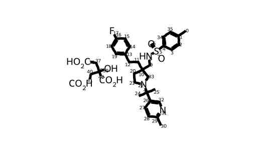 Cc1ccc(S(=O)(=O)NCC2(CCc3ccc(F)cc3)CCN(C(C)(C)c3ccc(C)nc3)C2)cc1.O=C(O)CC(O)(CC(=O)O)C(=O)O